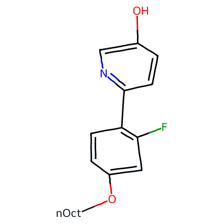 CCCCCCCCOc1ccc(-c2ccc(O)cn2)c(F)c1